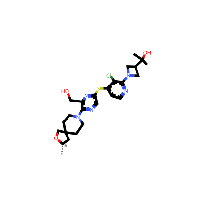 C[C@H]1CC2(CCN(c3ncc(Sc4ccnc(N5CC(C(C)(C)O)C5)c4Cl)nc3CO)CC2)CO1